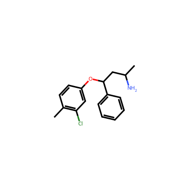 Cc1ccc(OC(CC(C)N)c2ccccc2)cc1Cl